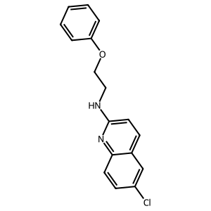 Clc1ccc2nc(NCCOc3ccccc3)ccc2c1